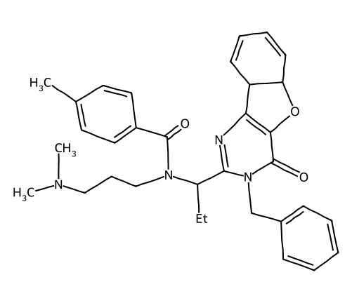 CCC(c1nc2c(c(=O)n1Cc1ccccc1)OC1C=CC=CC21)N(CCCN(C)C)C(=O)c1ccc(C)cc1